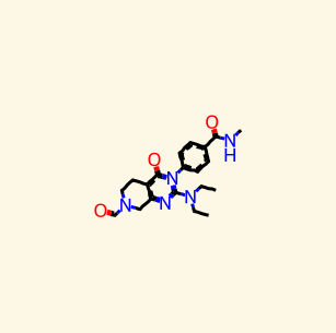 CCN(CC)c1nc2c(c(=O)n1-c1ccc(C(=O)NC)cc1)CCN(C=O)C2